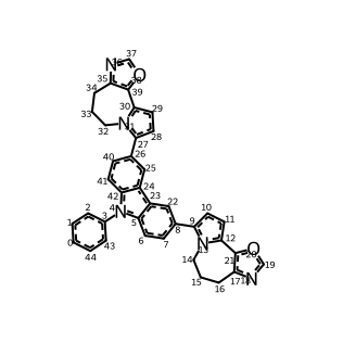 c1ccc(-n2c3ccc(-c4ccc5n4CCCc4ncoc4-5)cc3c3cc(-c4ccc5n4CCCc4ncoc4-5)ccc32)cc1